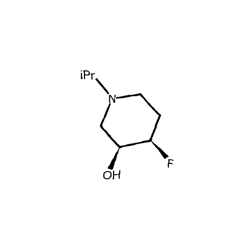 CC(C)N1CC[C@@H](F)[C@@H](O)C1